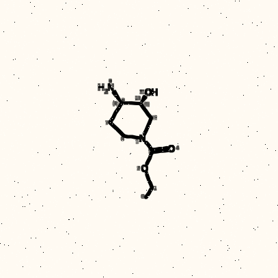 CCOC(=O)N1CC[C@@H](N)[C@@H](O)C1